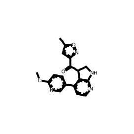 COc1ccc(-c2ccnc3c2C(C(=O)c2cc(C)on2)CN3)cn1